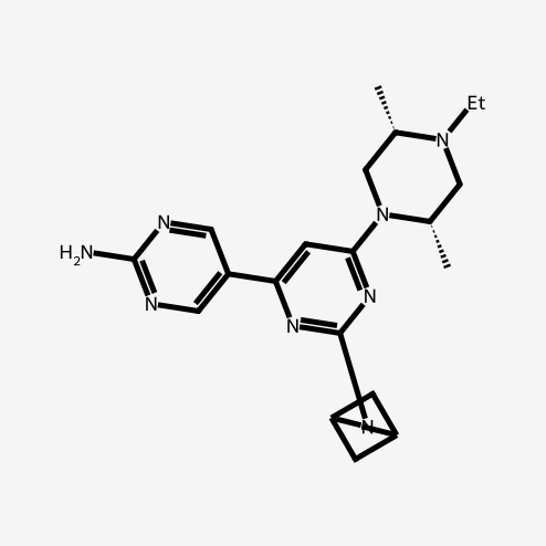 CCN1C[C@H](C)N(c2cc(-c3cnc(N)nc3)nc(N3CC4CC3C4)n2)C[C@@H]1C